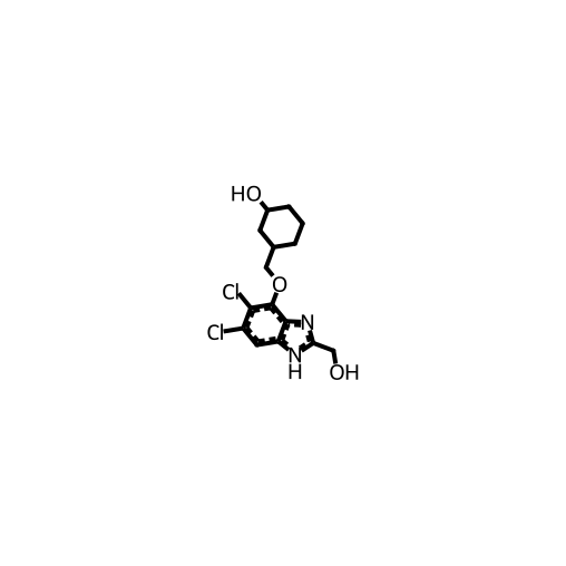 OCc1nc2c(OCC3CCCC(O)C3)c(Cl)c(Cl)cc2[nH]1